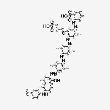 COc1ccc(Nc2ccc3c(O)c(N=Nc4cc(C)c(N=Nc5cc(C)c(N=Nc6cc(C)c(N=Nc7ccccc7S(=O)(=O)O)cc6OCCCS(=O)(=O)O)cc5C)cc4C)ccc3c2)cc1